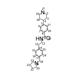 CN1CCC(c2ccc(C(=O)NCCc3ccc(CN4CCCC4)cc3)cc2)CC1